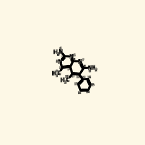 Cc1nc(N)nc2nc(N)c(-c3ccccc3)c(C)c12